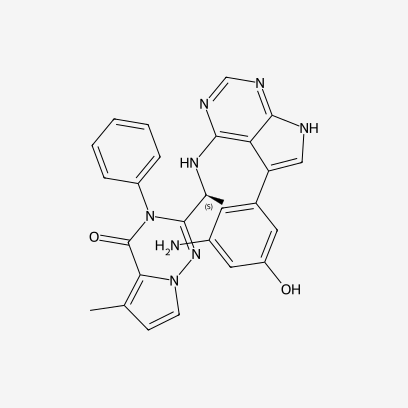 Cc1ccn2nc([C@H](C)Nc3ncnc4[nH]cc(-c5cc(N)cc(O)c5)c34)n(-c3ccccc3)c(=O)c12